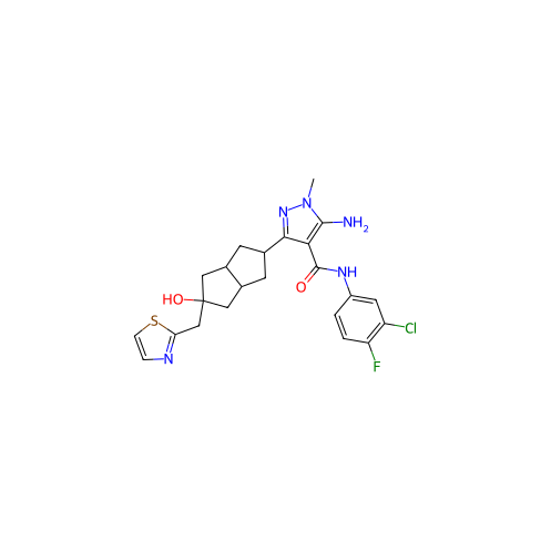 Cn1nc(C2CC3CC(O)(Cc4nccs4)CC3C2)c(C(=O)Nc2ccc(F)c(Cl)c2)c1N